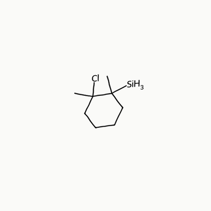 CC1([SiH3])CCCCC1(C)Cl